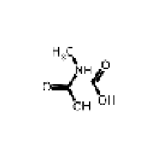 CNC(=O)O.O=CO